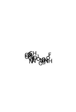 COc1cc2ncnc(Oc3ccc(NC(=O)C4(C(=O)Nc5ccc(F)cc5)CC4)cc3)c2nc1OC